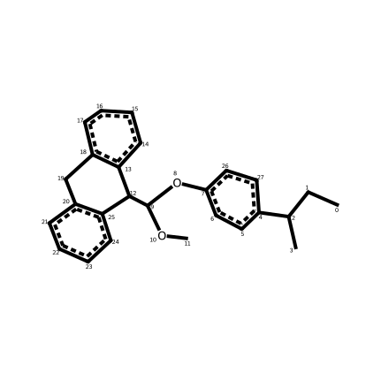 CCC(C)c1ccc(OC(OC)C2c3ccccc3Cc3ccccc32)cc1